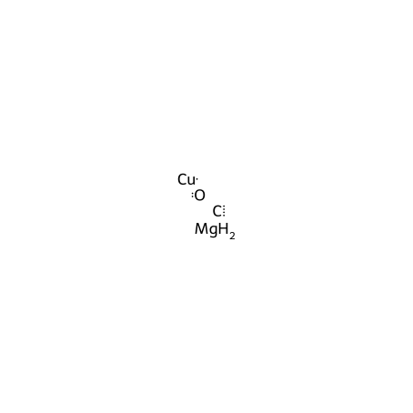 [C].[Cu].[MgH2].[O]